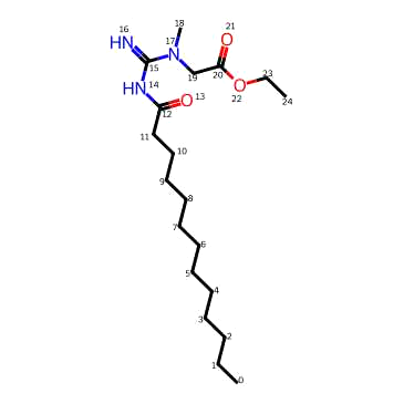 CCCCCCCCCCCCC(=O)NC(=N)N(C)CC(=O)OCC